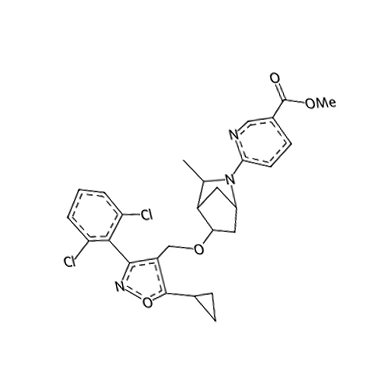 COC(=O)c1ccc(N2C3CC(OCc4c(-c5c(Cl)cccc5Cl)noc4C4CC4)C(C3)C2C)nc1